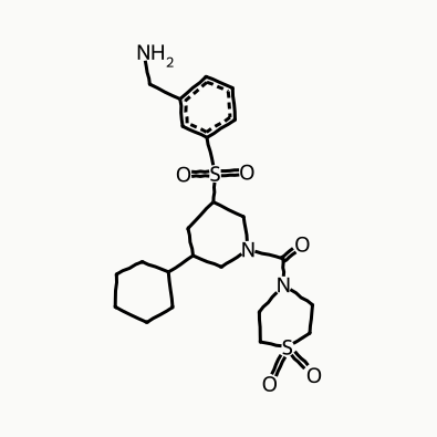 NCc1cccc(S(=O)(=O)C2CC(C3CCCCC3)CN(C(=O)N3CCS(=O)(=O)CC3)C2)c1